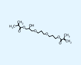 C=C(C)C(=O)OCCCOCCCOCC(O)COC(=O)C(=C)C